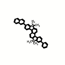 C[Si]1(C)c2cc(-c3ccccc3)ccc2-c2c1ccc1c3c(ccc21)[Si](C)(C)c1cc(-c2ccc4ccccc4c2)ccc1-3